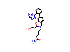 NC(=O)CCCCN(Cc1ccc(-c2ccccc2-c2nnn[nH]2)cc1)C(=O)[CH]CO